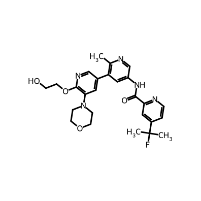 Cc1ncc(NC(=O)c2cc(C(C)(C)F)ccn2)cc1-c1cnc(OCCO)c(N2CCOCC2)c1